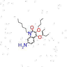 CC=C(CC)Oc1c(OCCCC)c(=O)n(CCCCCC)c2cc(N)ccc12